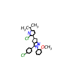 COc1ccccc1-n1nc2c(c1-c1ccc(Cl)cc1)CC(c1ccc(C(C)C)nc1Cl)C2